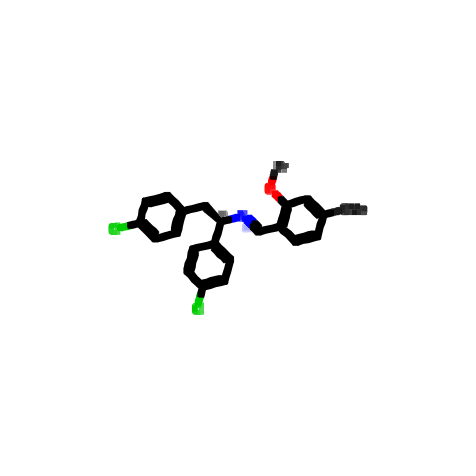 COc1ccc(/C=N/[C@H](Cc2ccc(Cl)cc2)c2ccc(Cl)cc2)c(OC(C)C)c1